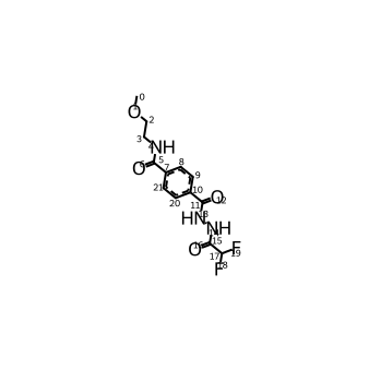 COCCNC(=O)c1ccc(C(=O)NNC(=O)C(F)F)cc1